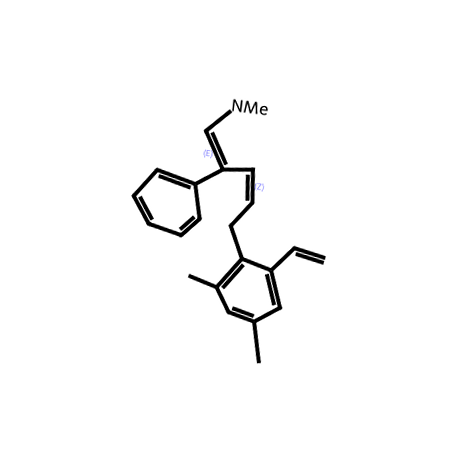 C=Cc1cc(C)cc(C)c1C/C=C\C(=C/NC)c1ccccc1